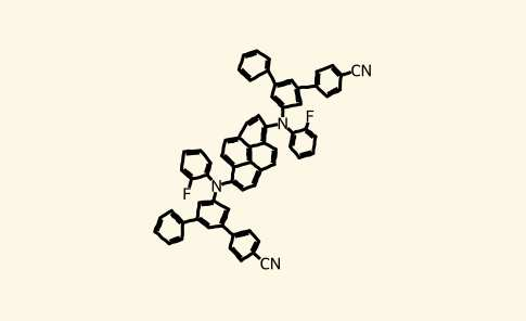 N#Cc1ccc(-c2cc(-c3ccccc3)cc(N(c3ccccc3F)c3ccc4ccc5c(N(c6cc(-c7ccccc7)cc(-c7ccc(C#N)cc7)c6)c6ccccc6F)ccc6ccc3c4c65)c2)cc1